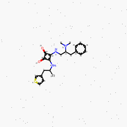 CCC(Cc1ccsc1)Nc1c(NCC(Cc2ccccc2)N(C)C)c(=O)c1=O